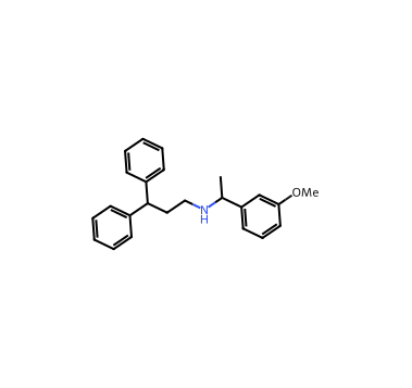 COc1cccc(C(C)NCCC(c2ccccc2)c2ccccc2)c1